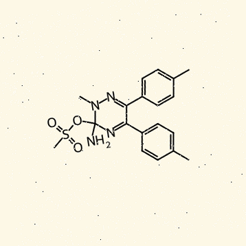 Cc1ccc(C2=NN(C)C(N)(OS(C)(=O)=O)N=C2c2ccc(C)cc2)cc1